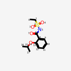 CCS(=O)(=O)[N]C(=O)c1ccccc1OC(C)C